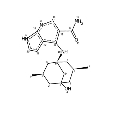 C[C@@H]1CC2(O)C[C@H](C)C[C@@](Nc3c(C(N)=O)nnc4[nH]ccc34)(C1)C2